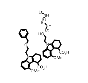 CCNCC.CCNCC.COc1cccc2c1c1c(n2CCO)CCCC1C(=O)O.COc1cccc2c1c1c(n2CCOCc2ccccc2)CCCC1C(=O)O